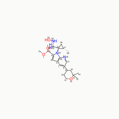 COC(=O)c1cc2cc(C3CCOC(C)(C)C3)cnc2n1[C@@]1(C(=N)NO)C[C@@H]1C